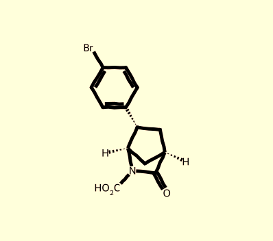 O=C(O)N1C(=O)[C@H]2C[C@@H]1[C@H](c1ccc(Br)cc1)C2